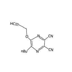 C#CCOc1nc(C#N)c(C#N)nc1CCCC